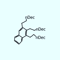 CCCCCCCCCCCCc1cc2ccccc2c(CCCCCCCCCCCC)c1CCCCCCCCCCCC